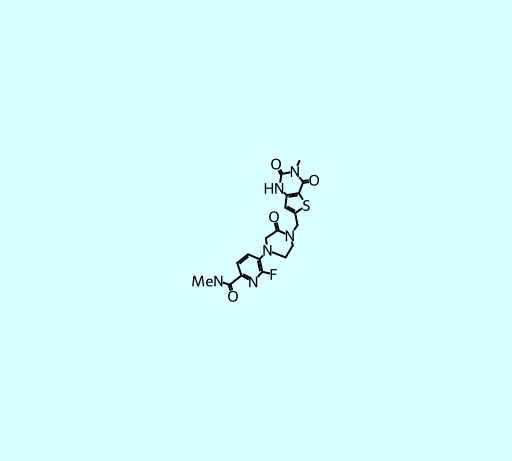 CNC(=O)c1ccc(N2CCN(Cc3cc4[nH]c(=O)n(C)c(=O)c4s3)C(=O)C2)c(F)n1